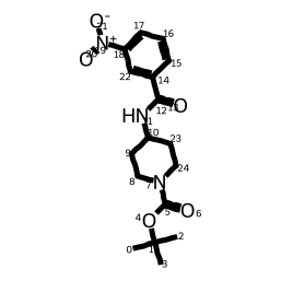 CC(C)(C)OC(=O)N1CCC(NC(=O)c2cccc([N+](=O)[O-])c2)CC1